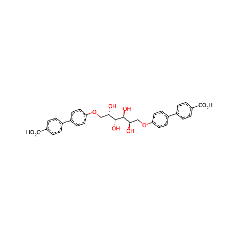 O=C(O)c1ccc(-c2ccc(OC[C@@H](O)[C@H](O)[C@H](O)[C@@H](O)COc3ccc(-c4ccc(C(=O)O)cc4)cc3)cc2)cc1